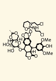 COc1cc([C@@H]2c3cc4c(cc3C(O[C@@H]3O[C@@H]5CO[C@@H](C)O[C@H]5[C@H](O)[C@H]3O)C3COC(=O)[C@@H]32)OCO4)cc(OC)c1O.O=P1(NCCCl)OCCCN1CCCl